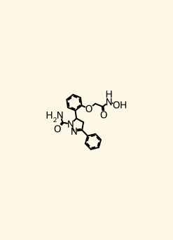 NC(=O)N1N=C(c2ccccc2)CC1c1ccccc1OCC(=O)NO